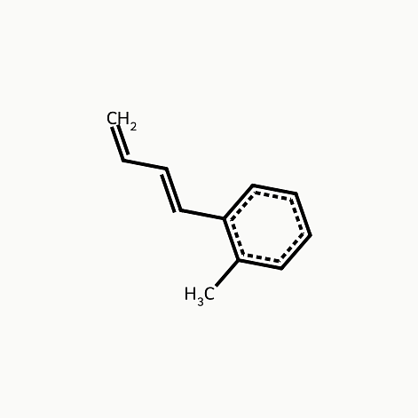 C=CC=Cc1ccccc1C